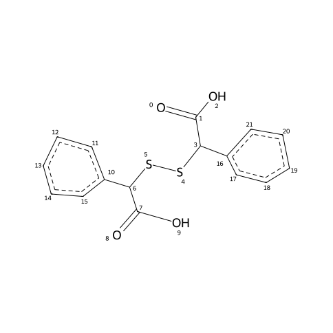 O=C(O)C(SSC(C(=O)O)c1ccccc1)c1ccccc1